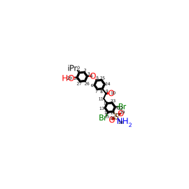 CC(C)c1cc(Oc2ccc(C(=O)Cc3cc(Br)c(S(N)(=O)=O)c(Br)c3)cc2)ccc1O